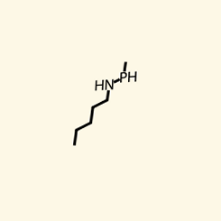 CCCCCNPC